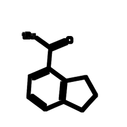 CC(C)(C)C(=O)c1cccc2c1CCC2